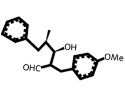 COc1ccc(CC(C=O)[C@H](O)[C@H](C)Cc2ccccc2)cc1